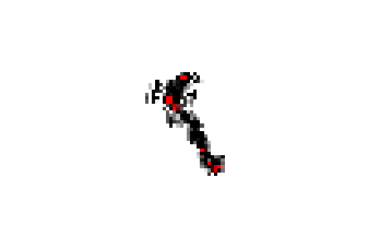 CC(C)(C)OC(=O)CC[C@H](NC(=O)N[C@@H](CCCCNC(=O)Nc1cccc(-c2cn(CCOCCOCCC(=O)ON3C(=O)CCC3=O)nn2)c1)C(=O)OC(C)(C)C)C(=O)OC(C)(C)C